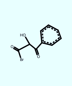 O=C(Br)C(O)C(=O)c1ccccc1